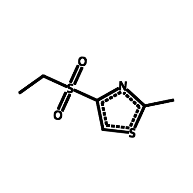 CCS(=O)(=O)c1csc(C)n1